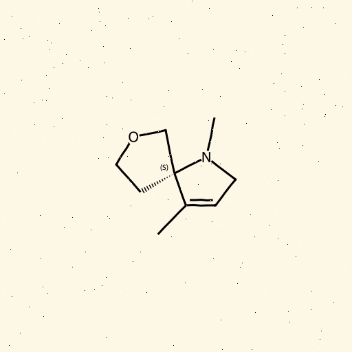 CC1=CCN(C)[C@@]12CCOC2